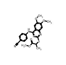 COC(=O)C(C)Sc1nc(Nc2ccc(C#N)cc2)c2cc(OC)c(OC)cc2n1